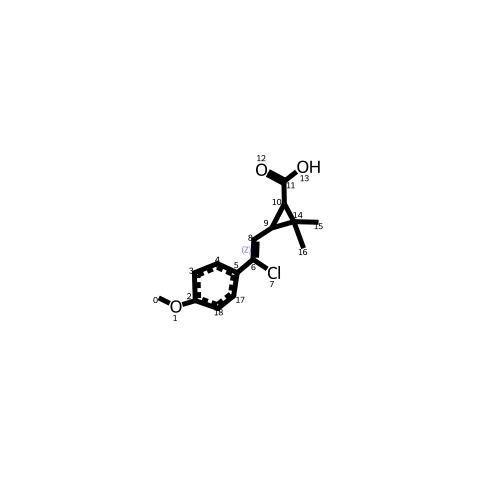 COc1ccc(/C(Cl)=C/C2C(C(=O)O)C2(C)C)cc1